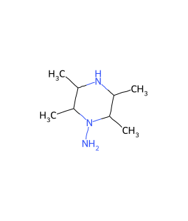 CC1NC(C)C(C)N(N)C1C